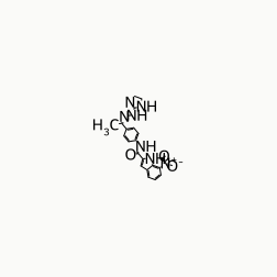 C/C(=N/NC1=NCCN1)c1ccc(NC(=O)c2cc3cccc([N+](=O)[O-])c3[nH]2)cc1